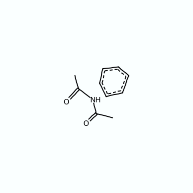 CC(=O)NC(C)=O.c1ccccc1